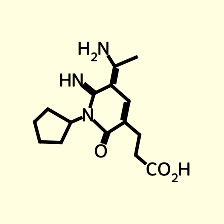 C/C(N)=C1\C=C(CCC(=O)O)C(=O)N(C2CCCC2)C1=N